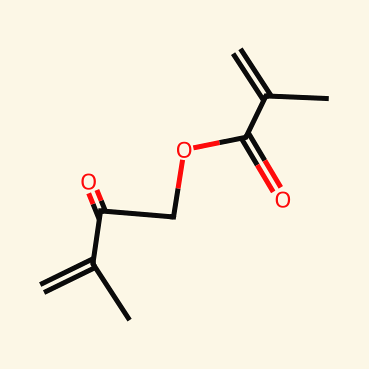 C=C(C)C(=O)COC(=O)C(=C)C